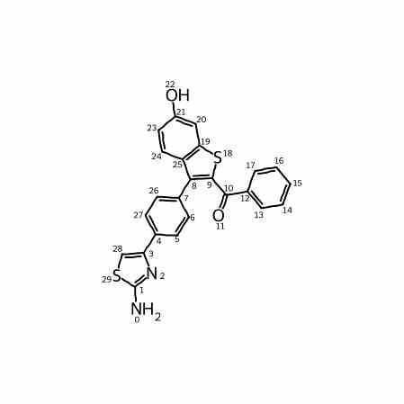 Nc1nc(-c2ccc(-c3c(C(=O)c4ccccc4)sc4cc(O)ccc34)cc2)cs1